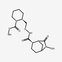 CC(C)(C)OC(=O)N1CCCC[C@H]1CONC(=O)[C@@H]1CCC2CN1C(=O)N2O